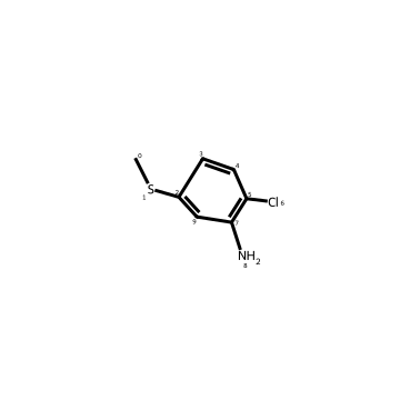 CSc1ccc(Cl)c(N)c1